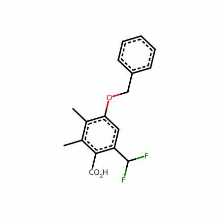 Cc1c(OCc2ccccc2)cc(C(F)F)c(C(=O)O)c1C